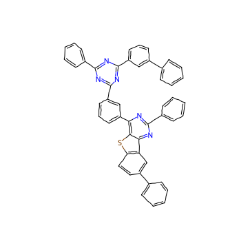 c1ccc(-c2cccc(-c3nc(-c4ccccc4)nc(-c4cccc(-c5nc(-c6ccccc6)nc6c5sc5ccc(-c7ccccc7)cc56)c4)n3)c2)cc1